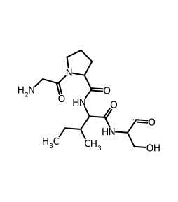 CCC(C)C(NC(=O)C1CCCN1C(=O)CN)C(=O)NC([C]=O)CO